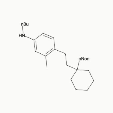 CCCCCCCCCC1(CCc2ccc(NCCCC)cc2C)CCCCC1